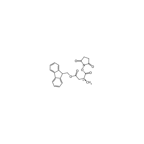 C[C@@H](CC(=O)OCC1c2ccccc2-c2ccccc21)C(=O)ON1C(=O)CCC1=O